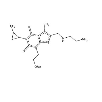 COCCn1c(=O)n(C2CC2C(F)(F)F)c(=O)c2c(C)c(CNCCN)sc21